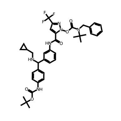 CC(C)(C)OC(=O)Nc1ccc(C(NCC2CC2)c2cccc(NC(=O)c3cc(C(F)(F)F)nn3OC(=O)N(Cc3ccccc3)C(C)(C)C)c2)cc1